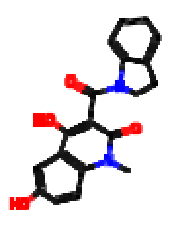 Cn1c(=O)c(C(=O)N2CCc3ccccc32)c(O)c2cc(O)ccc21